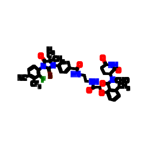 Cc1cccc(OCC(=O)NCCNC(=O)c2ccc(N3C(=S)N(c4ccc(C#N)c(C(F)(F)F)c4F)C(=O)C3(C)C)cc2)c1C(=O)N(C=O)C1CCC(=O)NC1=O